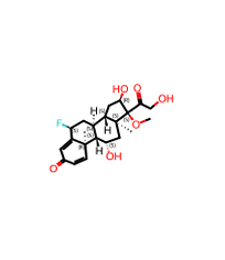 CO[C@]1(C(=O)CO)[C@H](O)C[C@H]2[C@@H]3C[C@H](F)C4=CC(=O)C=C[C@]4(C)[C@H]3[C@@H](O)C[C@@]21C